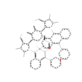 C=C/C=C\C1C(c2ccccc2)=c2ccccc2=C(n2c(C)c(C)c(=C/C)/c2=c2/cc/c(=c3/c(=C\C)c(C)c(C)n3-c3c4ccccc4c(-c4ccccc4)c4ccccc34)c(=C)c2=C)C1(C)I